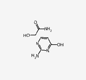 NC(=O)CO.Nc1nccc(O)n1